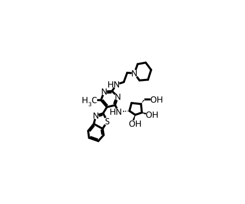 Cc1nc(NCCN2CCCCC2)nc(N[C@@H]2C[C@H](CO)[C@@H](O)[C@H]2O)c1-c1nc2ccccc2s1